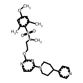 COc1cc(C)c(S(=O)(=O)N(C)CCOc2nccc(N3CCC(c4ccncc4)CC3)n2)c(C)c1